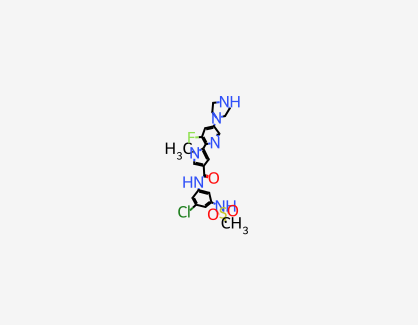 Cn1cc(C(=O)Nc2cc(Cl)cc(NS(C)(=O)=O)c2)cc1-c1ncc(N2CCNCC2)cc1F